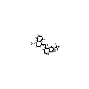 CN1CCC(Nc2ncnc3[nH]c(C(F)(F)F)cc23)c2ccccc21